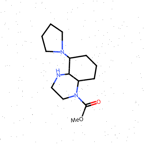 COC(=O)N1CCNC2C(N3CCCC3)CCCC21